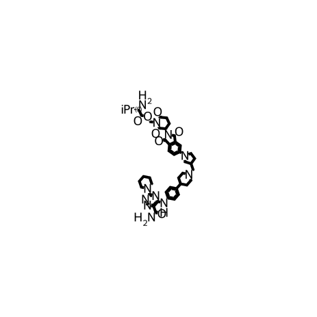 CC(C)[C@H](N)C(=O)OCN1C(=O)CCC(N2C(=O)c3ccc(N4CCC(CN5CCC(c6ccc(Nc7nc(N8CCCCC8)nnc7C(N)=O)cc6)CC5)C4)cc3C2=O)C1=O